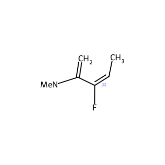 C=C(NC)/C(F)=C\C